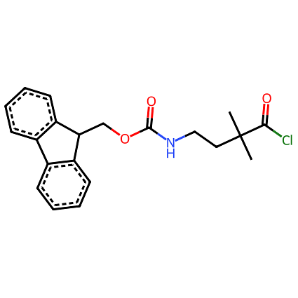 CC(C)(CCNC(=O)OCC1c2ccccc2-c2ccccc21)C(=O)Cl